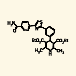 CCOC(=O)C1=C(C)NC(C)=C(C(=O)OCC)C1c1cccc(-c2nc(-c3ccc(C(N)=O)cc3)cs2)c1